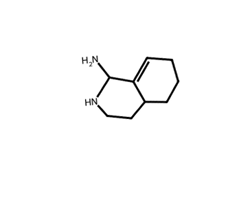 NC1NCCC2CCCC=C21